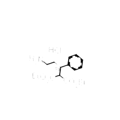 CCOC(=O)C(C(=O)OCC)[C@@H](CCN)c1ccccc1.Cl